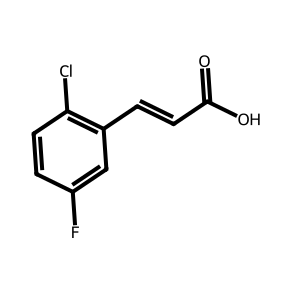 O=C(O)C=Cc1cc(F)ccc1Cl